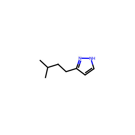 CC(C)[CH]Cc1cc[nH]n1